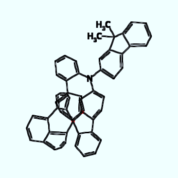 CC1(C)c2ccccc2-c2ccc(N(c3ccc4c(c3)C3(c5ccccc5-4)c4ccccc4-c4cccc5cccc3c45)c3ccccc3-c3ccccc3)cc21